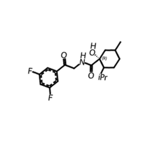 CC1CCC(C(C)C)[C@@](O)(C(=O)NCC(=O)c2cc(F)cc(F)c2)C1